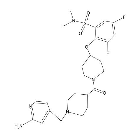 CN(C)S(=O)(=O)c1cc(F)cc(F)c1OC1CCN(C(=O)C2CCN(Cc3ccnc(N)c3)CC2)CC1